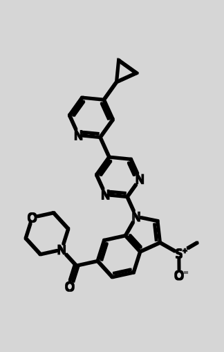 C[S+]([O-])c1cn(-c2ncc(-c3cc(C4CC4)ccn3)cn2)c2cc(C(=O)N3CCOCC3)ccc12